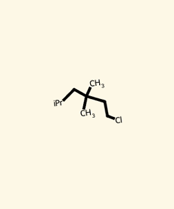 CC(C)CC(C)(C)CCCl